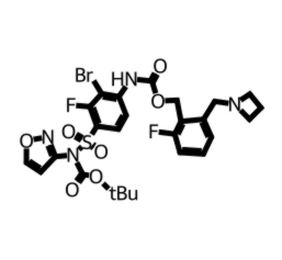 CC(C)(C)OC(=O)N(c1ccon1)S(=O)(=O)c1ccc(NC(=O)OCc2c(F)cccc2CN2CCC2)c(Br)c1F